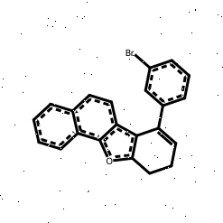 Brc1cccc(C2=CCCc3oc4c(ccc5ccccc54)c32)c1